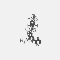 Cc1ccncc1-c1cc2cc(NC(=O)[C@H]3[C@@H]4CC(NS(C)(=O)=O)C[C@@H]43)ncc2c(N)n1